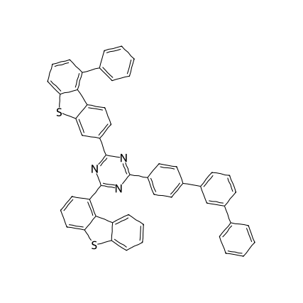 c1ccc(-c2cccc(-c3ccc(-c4nc(-c5ccc6c(c5)sc5cccc(-c7ccccc7)c56)nc(-c5cccc6sc7ccccc7c56)n4)cc3)c2)cc1